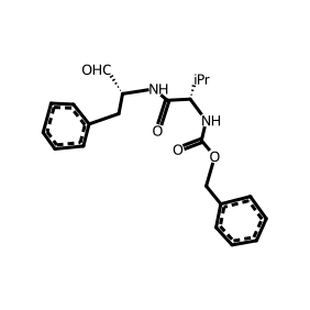 CC(C)[C@H](NC(=O)OCc1ccccc1)C(=O)N[C@@H](C=O)Cc1ccccc1